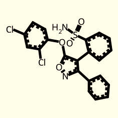 NS(=O)(=O)c1ccccc1-c1c(-c2ccccc2)noc1Oc1ccc(Cl)cc1Cl